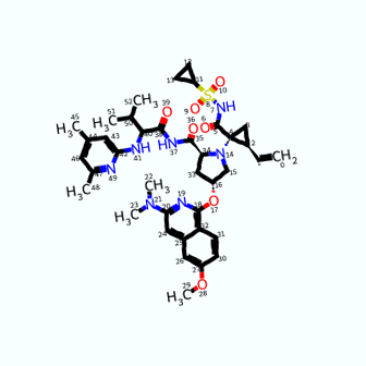 C=C[C@@H]1C[C@@]1(C(=O)NS(=O)(=O)C1CC1)N1C[C@H](Oc2nc(N(C)C)cc3cc(OC)ccc23)C[C@H]1C(=O)NC(=O)C(Nc1cc(C)cc(C)n1)C(C)C